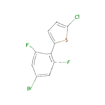 Fc1cc(Br)cc(F)c1-c1ccc(Cl)s1